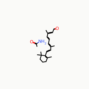 CC(C=CC=C(C)C=CC1=C(C)CCCC1(C)C)=CC=O.CC(N)=O